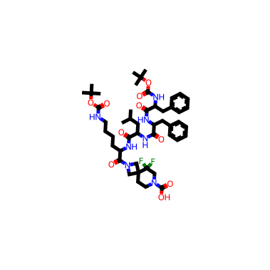 CC(C)CC(NC(=O)C(Cc1ccccc1)NC(=O)C(Cc1ccccc1)NC(=O)OC(C)(C)C)C(=O)NC(CCCCNC(=O)OC(C)(C)C)C(=O)N1CC2(CCN(C(=O)O)CC2(F)F)C1